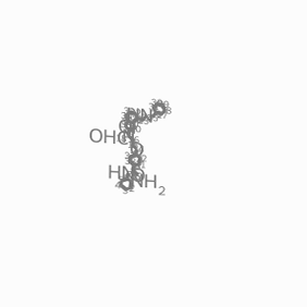 Nc1ccccc1NC(=O)c1ccc(OCCN(C=O)c2cc3c(CNCc4ccccc4)cccc3o2)cc1